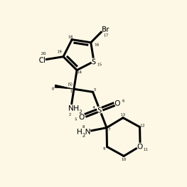 C[C@](N)(CS(=O)(=O)C1(N)CCOCC1)c1sc(Br)cc1Cl